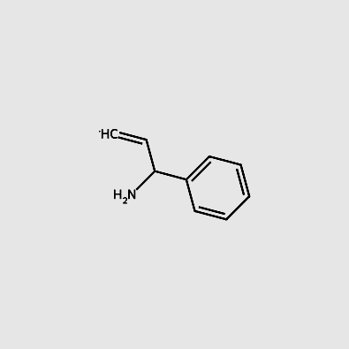 [CH]=CC(N)c1ccccc1